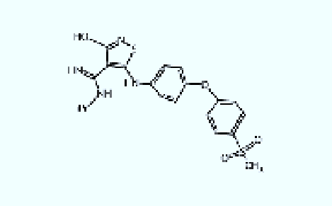 CC(C)NC(=N)c1c(O)nsc1Nc1ccc(Oc2ccc(S(C)(=O)=O)cc2)cc1